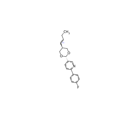 CC/C=C/[C@H]1CO[C@H](c2ccc(-c3ccc(F)cc3)nc2)OC1